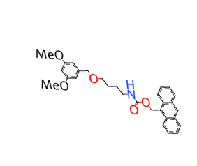 COc1cc(COCCCCNC(=O)OCc2c3ccccc3cc3ccccc23)cc(OC)c1